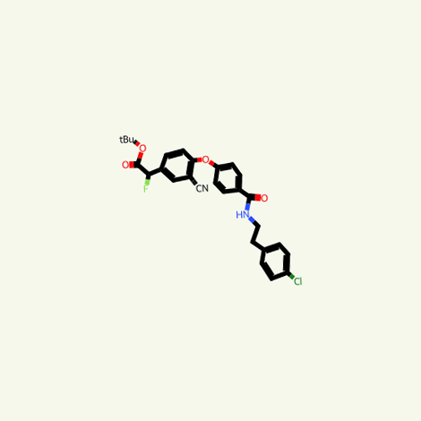 CC(C)(C)OC(=O)C(F)c1ccc(Oc2ccc(C(=O)NCCc3ccc(Cl)cc3)cc2)c(C#N)c1